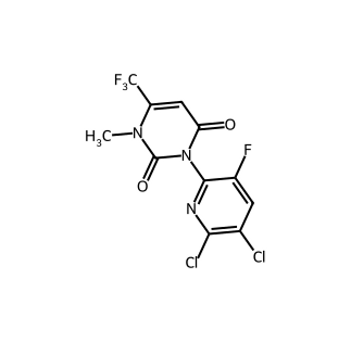 Cn1c(C(F)(F)F)cc(=O)n(-c2nc(Cl)c(Cl)cc2F)c1=O